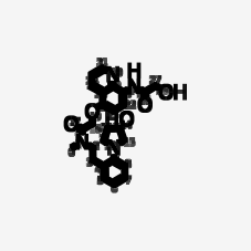 CN(CCc1ccccc1N1CC[C@H](O)C1)C(=O)COc1ccc(NC(=O)CO)c2ncccc12